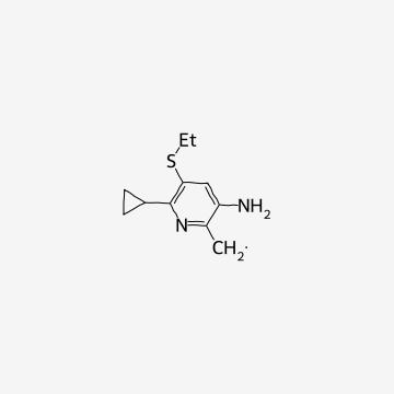 [CH2]c1nc(C2CC2)c(SCC)cc1N